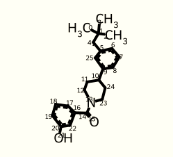 CC(C)(C)[CH]c1cccc(C2CCN(C(=O)c3cccc(O)c3)CC2)c1